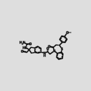 COc1ccc(C2CC(=O)N(CC(=O)Nc3ccc4c(c3)CC(C=O)(NC(N)=O)C4)c3ccccc3S2)cc1